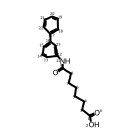 O=C(O)CCCCCCC(=O)Nc1cccc(-c2ccccc2)c1